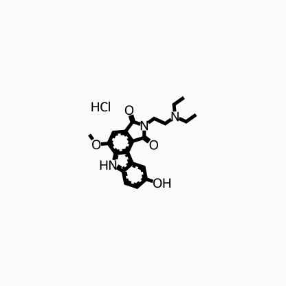 CCN(CC)CCN1C(=O)c2cc(OC)c3[nH]c4ccc(O)cc4c3c2C1=O.Cl